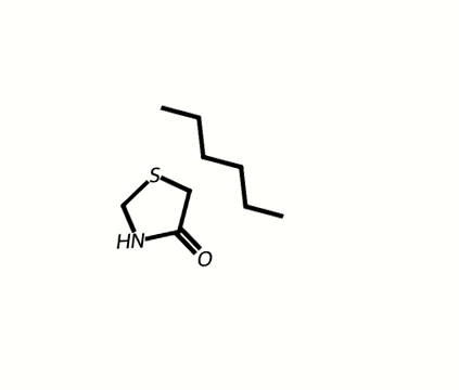 CCCCCC.O=C1CSCN1